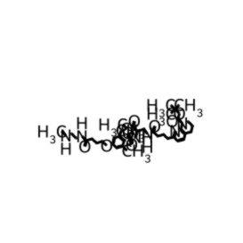 CNCCNC(=O)CCCOc1cc(C)c(S(=O)(=O)NC(CNC(=O)CCCc2ccc3c(n2)N(C(=O)OC(C)(C)C)CCC3)C(=O)OC)c(C)c1